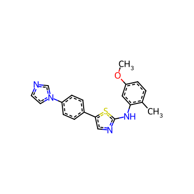 COc1ccc(C)c(Nc2ncc(-c3ccc(-n4ccnc4)cc3)s2)c1